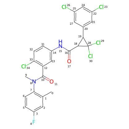 Cc1cc(F)ccc1N(C)C(=O)c1cc(NC(=O)C2C(c3cc(Cl)cc(Cl)c3)C2(Cl)Cl)ccc1Cl